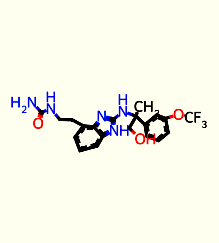 CC(CO)(Nc1nc2c(CCNC(N)=O)cccc2[nH]1)c1cccc(OC(F)(F)F)c1